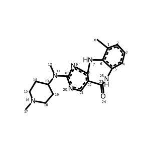 Cc1cccc2c1Nc1nc(N(C)C3CCN(C)CC3)ncc1C(=O)N2